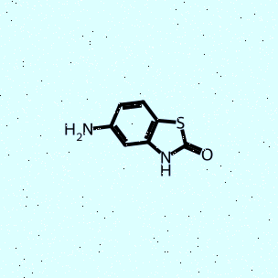 Nc1ccc2sc(=O)[nH]c2c1